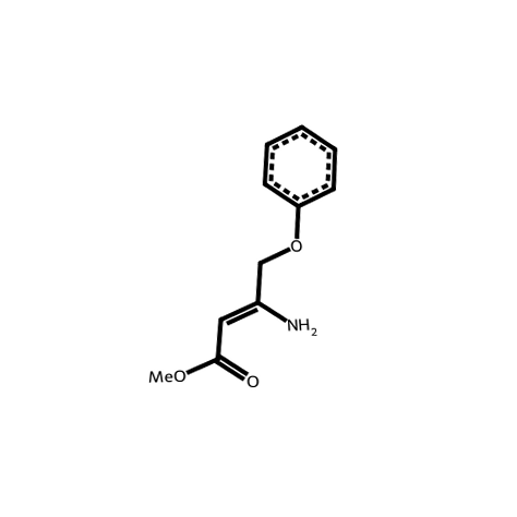 COC(=O)/C=C(\N)COc1ccccc1